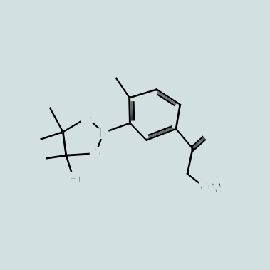 CCC1(C)OB(c2cc(C(=O)COC)ccc2C)OC1(C)C